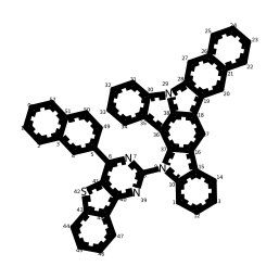 c1ccc2cc(-c3nc(-n4c5ccccc5c5cc6c7cc8ccccc8cc7n7c8ccccc8c(c54)c67)nc4c3sc3ccccc34)ccc2c1